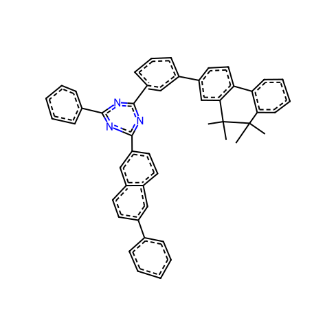 CC1(C)c2ccccc2-c2ccc(-c3cccc(-c4nc(-c5ccccc5)nc(-c5ccc6cc(-c7ccccc7)ccc6c5)n4)c3)cc2C1(C)C